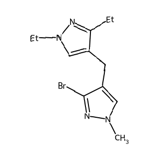 CCc1nn(CC)cc1Cc1cn(C)nc1Br